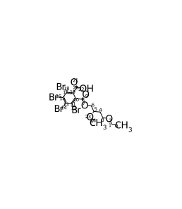 CCOCCC(COC(=O)c1c(Br)c(Br)c(Br)c(Br)c1C(=O)O)OC